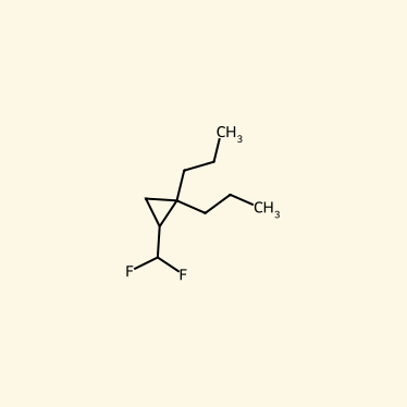 CCCC1(CCC)CC1C(F)F